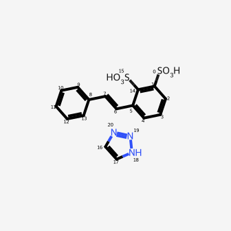 O=S(=O)(O)c1cccc(C=Cc2ccccc2)c1S(=O)(=O)O.c1c[nH]nn1